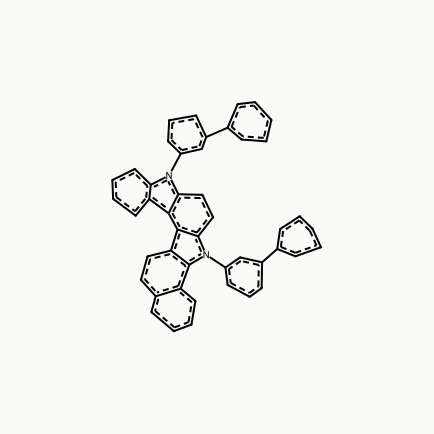 c1ccc(-c2cccc(-n3c4ccccc4c4c5c6ccc7ccccc7c6n(-c6cccc(-c7ccccc7)c6)c5ccc43)c2)cc1